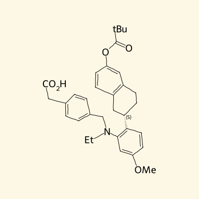 CCN(Cc1ccc(CC(=O)O)cc1)c1cc(OC)ccc1[C@H]1CCc2cc(OC(=O)C(C)(C)C)ccc2C1